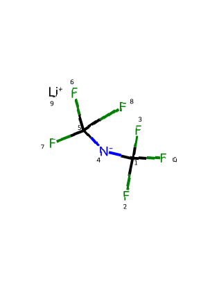 FC(F)(F)[N-]C(F)(F)F.[Li+]